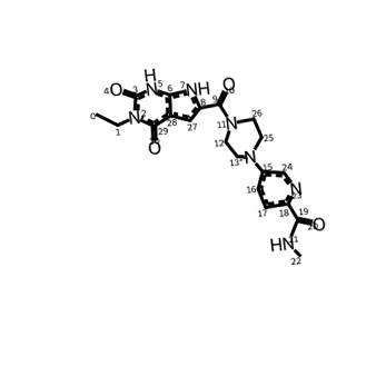 CCn1c(=O)[nH]c2[nH]c(C(=O)N3CCN(c4ccc(C(=O)NC)nc4)CC3)cc2c1=O